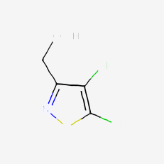 O=C(O)Cc1nsc(Cl)c1Cl